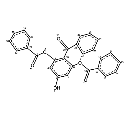 O=C(Oc1cc(O)cc(OC(=O)c2ccccc2)c1C(=O)c1ccccc1)c1ccccc1